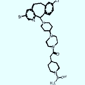 CB(O)N1CCC(CC(=O)N2CCN(C3CCN(C4c5ccc(Cl)cc5CCc5cc(Br)cnc54)CC3)CC2)CC1